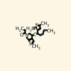 C=CC(=O)N1CC(=C=C(/C=C\C=C/C)c2cc(C)nn2C)c2cc(C)sc2C1